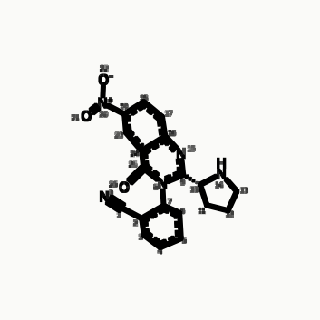 N#Cc1ccccc1-n1c([C@H]2CCCN2)nc2ccc([N+](=O)[O-])cc2c1=O